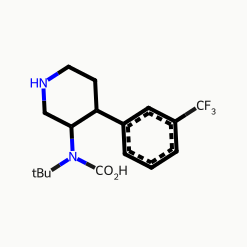 CC(C)(C)N(C(=O)O)C1CNCCC1c1cccc(C(F)(F)F)c1